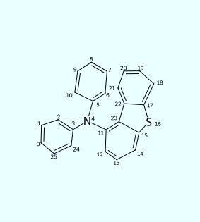 c1ccc(N(c2ccccc2)c2cccc3sc4ccccc4c23)cc1